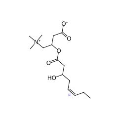 CC/C=C\CC(O)CC(=O)OC(CC(=O)[O-])C[N+](C)(C)C